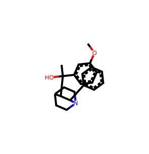 COc1cccc(C(C)(O)C2C3CCN(CC3)C2c2ccccc2)c1